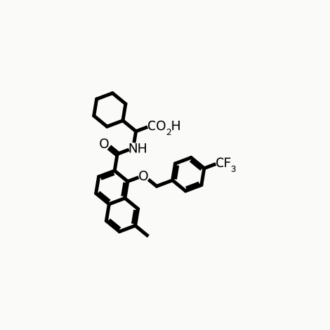 Cc1ccc2ccc(C(=O)NC(C(=O)O)C3CCCCC3)c(OCc3ccc(C(F)(F)F)cc3)c2c1